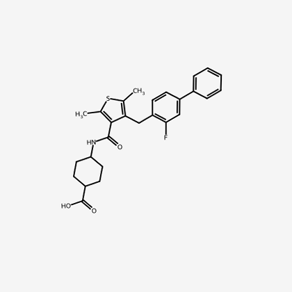 Cc1sc(C)c(C(=O)NC2CCC(C(=O)O)CC2)c1Cc1ccc(-c2ccccc2)cc1F